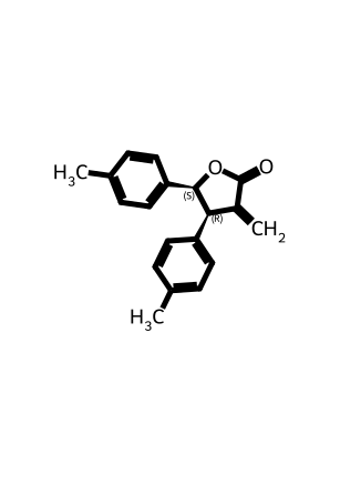 C=C1C(=O)O[C@H](c2ccc(C)cc2)[C@@H]1c1ccc(C)cc1